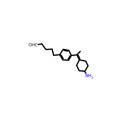 CC(=C1CCC(N)CC1)c1ccc(CCCCC=O)cc1